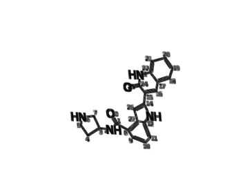 O=C(NC1CCNC1)c1cccc2[nH]c(-c3cc4ccccc4[nH]c3=O)cc12